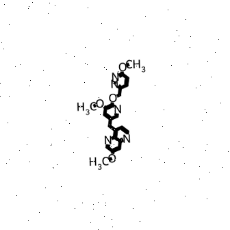 COc1cnc2c(Cc3cnc(OCc4ccc(OC)nn4)c(OC)c3)ccnc2c1